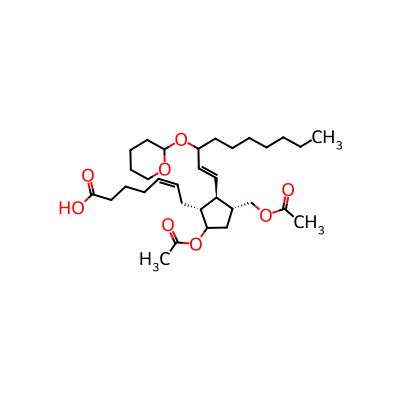 CCCCCCCC(/C=C/[C@H]1[C@H](COC(C)=O)CC(OC(C)=O)[C@@H]1C/C=C\CCCC(=O)O)OC1CCCCO1